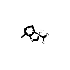 Cc1cccc2c1N=C[N+]2([O-])C(=O)Cl